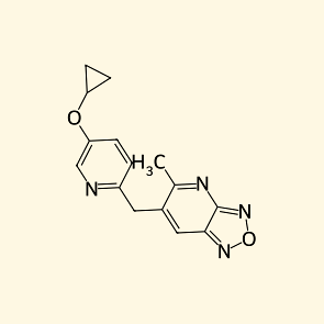 Cc1nc2nonc2cc1Cc1ccc(OC2CC2)cn1